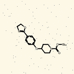 CC(C)(C)OC(=O)N1CCC(Oc2ccc(C3=NCCO3)cc2)CC1